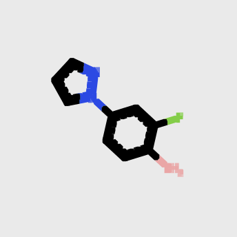 Bc1ccc(-n2cccn2)cc1F